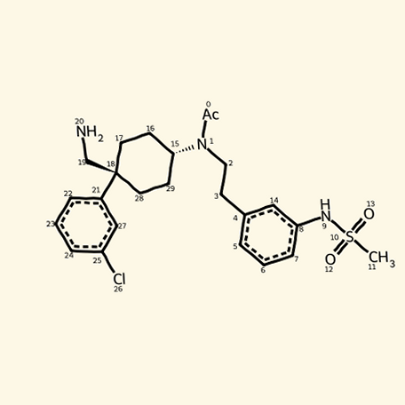 CC(=O)N(CCc1cccc(NS(C)(=O)=O)c1)[C@H]1CC[C@@](CN)(c2cccc(Cl)c2)CC1